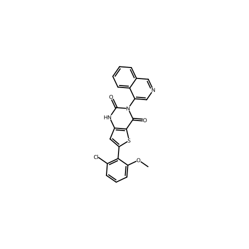 COc1cccc(Cl)c1-c1cc2[nH]c(=O)n(-c3cncc4ccccc34)c(=O)c2s1